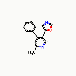 Cc1cc(-c2ccccc2)c(-c2cnco2)[c]n1